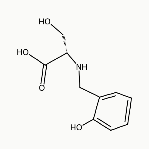 O=C(O)[C@H](CO)NCc1ccccc1O